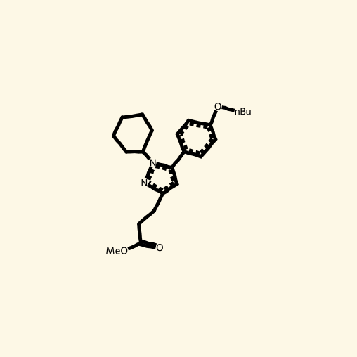 CCCCOc1ccc(-c2cc(CCC(=O)OC)nn2C2CCCCC2)cc1